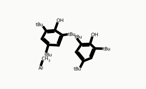 CC(C)(C)c1cc(C(C)(C)C)c(O)c(C(C)(C)C)c1.CC(C)(C)c1cc(C(C)(C)C)c(O)c(C(C)(C)C)c1.[CH3][Al]